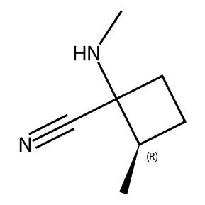 CNC1(C#N)CC[C@H]1C